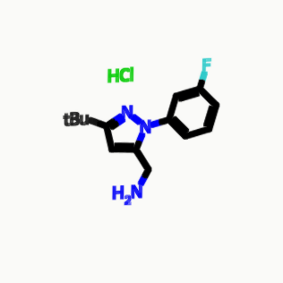 CC(C)(C)c1cc(CN)n(-c2cccc(F)c2)n1.Cl